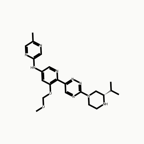 COCOc1cc(Nc2cnc(C)cn2)cnc1-c1cnc(N2CCN[C@@H](C(C)C)C2)nn1